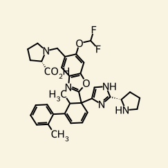 Cc1ccccc1C1=CC=CC(c2c[nH]c([C@@H]3CCCN3)n2)(c2nc3cc(CN4CCC[C@H]4C(=O)O)c(OC(F)F)cc3o2)C1C